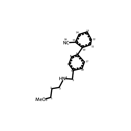 COCCCNCc1ccc(-c2ccccc2C#N)cc1